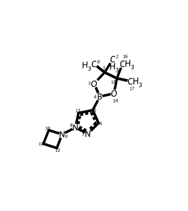 CC1(C)OB(c2cnn(N3CCC3)c2)OC1(C)C